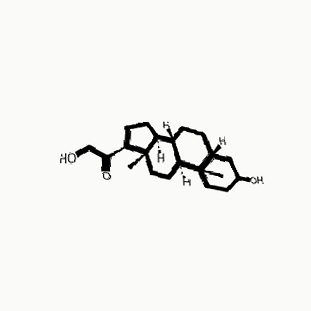 C[C@]12CCC(O)C[C@H]1CC[C@@H]1[C@@H]2CC[C@]2(C)[C@@H](C(=O)CO)CC[C@@H]12